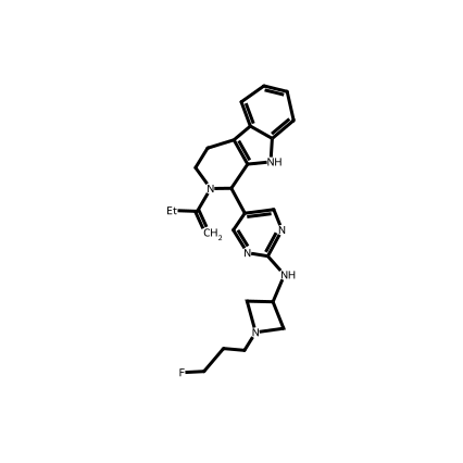 C=C(CC)N1CCc2c([nH]c3ccccc23)C1c1cnc(NC2CN(CCCF)C2)nc1